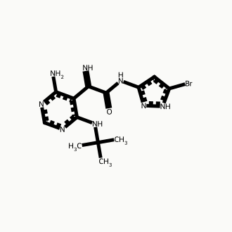 CC(C)(C)Nc1ncnc(N)c1C(=N)C(=O)Nc1cc(Br)[nH]n1